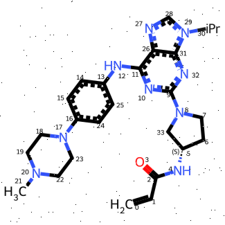 C=CC(=O)N[C@H]1CCN(c2nc(Nc3ccc(N4CCN(C)CC4)cc3)c3ncn(C(C)C)c3n2)C1